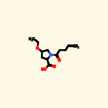 C=CCCC(=O)N1CC(OCC)C[C@@H]1C(=O)O